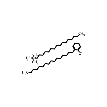 CCCCCCCCCCCCCCCC[N+](C)(C)C.CCCCCCCCCCCCCCCCc1ccccc1[O-]